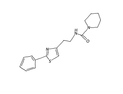 O=C(NCCc1csc(-c2ccccc2)n1)N1CCCCC1